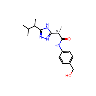 CC(C)C(C)c1nnc([C@H](C)C(=O)Nc2ccc(CO)cc2)[nH]1